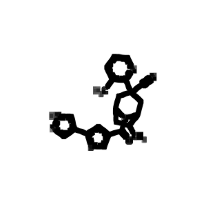 Cc1cccnc1C1(C#N)CC2CC(C)C(C1)N2C(=O)c1csc(-c2cn[nH]c2)c1